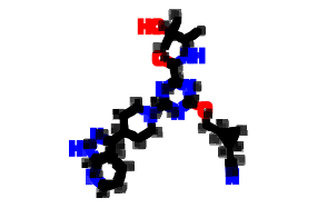 CC(NC(=O)c1nc(OC[C@H]2C[C@H]2C#N)nc(N2CCC(c3n[nH]c4ncccc34)CC2)n1)C(C)(C)O